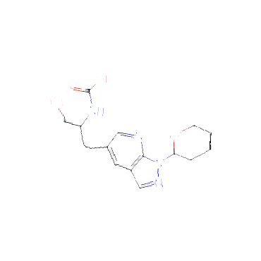 O=C(O)NC(CO)Cc1cnc2c(cnn2C2CCCCO2)c1